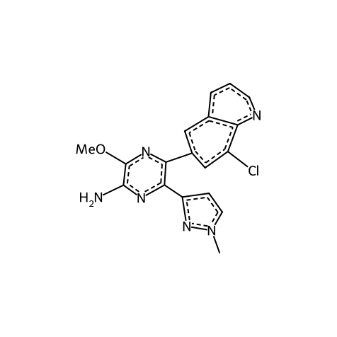 COc1nc(-c2cc(Cl)c3ncccc3c2)c(-c2ccn(C)n2)nc1N